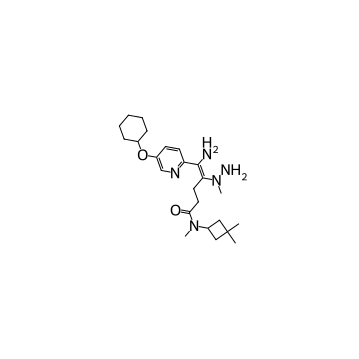 CN(N)/C(CCC(=O)N(C)C1CC(C)(C)C1)=C(\N)c1ccc(OC2CCCCC2)cn1